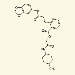 CC1CCC(NC(=O)COC(=O)c2cccnc2SCC(=O)Nc2ccc3c(c2)OCO3)CC1